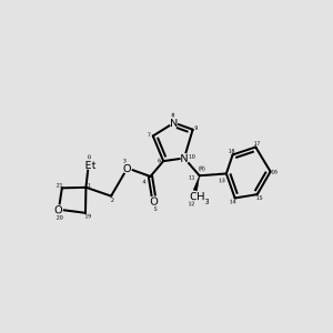 CCC1(COC(=O)c2cncn2[C@H](C)c2ccccc2)COC1